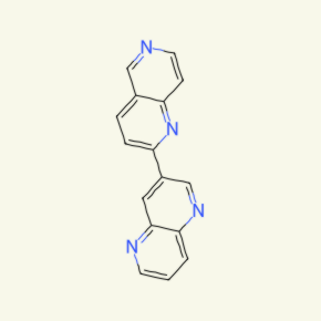 c1cnc2cc(-c3ccc4cnccc4n3)cnc2c1